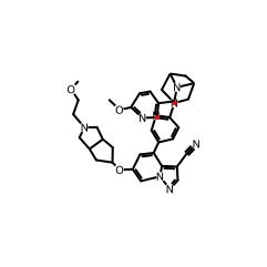 COCCN1CC2CC(Oc3cc(-c4ccc(N5CC6CC(C5)N6Cc5ccc(OC)nc5)nc4)c4c(C#N)cnn4c3)CC2C1